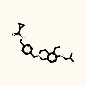 CCc1c(OCC(C)C)ccc2c1CCN(Cc1ccc(CNC(=O)C3CC3)cc1)C2